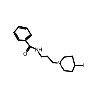 O=C(NCCCN1CCC(I)CC1)c1ccccc1